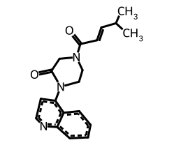 CC(C)C=CC(=O)N1CCN(c2ccnc3ccccc23)C(=O)C1